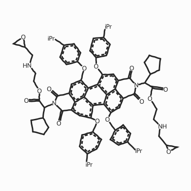 CC(C)c1ccc(Oc2cc3c4c(cc(Oc5ccc(C(C)C)cc5)c5c6c(Oc7ccc(C(C)C)cc7)cc7c8c(cc(Oc9ccc(C(C)C)cc9)c(c2c45)c86)C(=O)N(C(C(=O)OCCNCC2CO2)C2CCCC2)C7=O)C(=O)N(C(C(=O)OCCNCC2CO2)C2CCCC2)C3=O)cc1